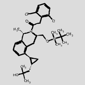 C[C@H]1c2cccc([C@H]3C[C@@H]3CC(C)(C)O)c2C[C@H](CO[Si](C)(C)C(C)(C)C)N1C(=O)Cc1c(Cl)cccc1Cl